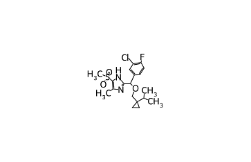 Cc1nc(C(OCC2(C(C)C)CC2)c2ccc(F)c(Cl)c2)[nH]c1S(C)(=O)=O